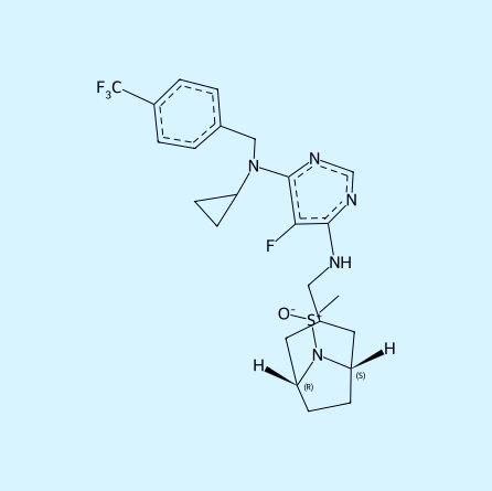 C[S+]([O-])N1[C@@H]2CC[C@H]1CC(CNc1ncnc(N(Cc3ccc(C(F)(F)F)cc3)C3CC3)c1F)C2